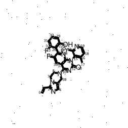 C=Cc1ncc2n1CCN(c1nc(=O)n(-c3c(C)ccnc3C(C)C)c3nc(-c4c(O)cccc4F)c(F)cc13)C2